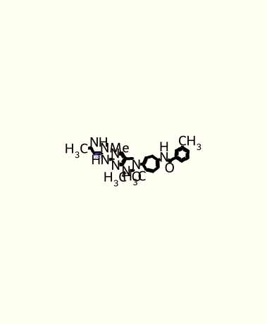 CN/C(=C\C(C)=N)Nc1ncc2c(n1)N(C)C(=O)N(C1=CCC(NC(=O)c3cccc(C)c3)=CC=C1C)C2